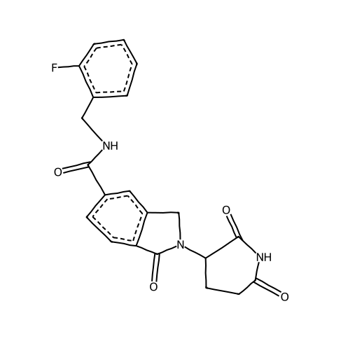 O=C1CCC(N2Cc3cc(C(=O)NCc4ccccc4F)ccc3C2=O)C(=O)N1